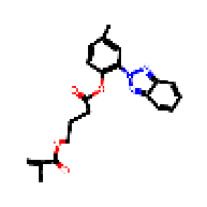 C=C(C)C(=O)OCCCC(=O)Oc1ccc(C)cc1-n1nc2ccccc2n1